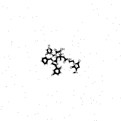 CSC1CC(=O)N(CCNC(=O)CC(C)(C)[C@H](c2nc(-c3cc(F)ccc3F)cn2Cc2ccccc2)N(C[C@@H]2CNC[C@@H]2F)C(=O)[C@H](C)O)C1=O